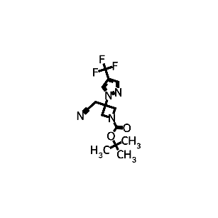 CC(C)(C)OC(=O)N1CC(CC#N)(n2cc(C(F)(F)F)cn2)C1